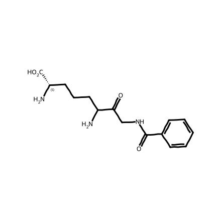 NC(CCC[C@H](N)C(=O)O)C(=O)CNC(=O)c1ccccc1